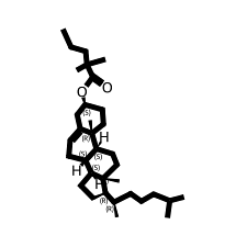 CCCC(C)(C)C(=O)O[C@H]1CC[C@@]2(C)C(=CC[C@H]3[C@@H]4CC[C@H]([C@H](C)CCCC(C)C)[C@@]4(C)CC[C@@H]32)C1